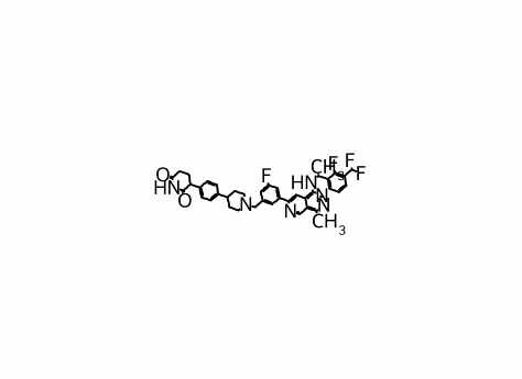 Cc1nnc(N[C@H](C)c2cccc(C(F)F)c2F)c2cc(-c3cc(F)cc(CN4CCC(c5ccc(C6CCC(=O)NC6=O)cc5)CC4)c3)ncc12